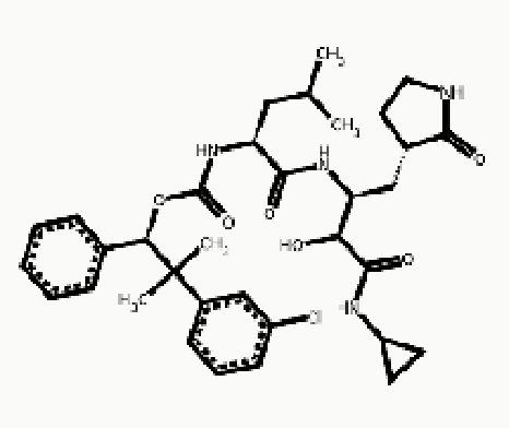 CC(C)C[C@H](NC(=O)O[C@H](c1ccccc1)C(C)(C)c1cccc(Cl)c1)C(=O)N[C@@H](C[C@@H]1CCNC1=O)C(O)C(=O)NC1CC1